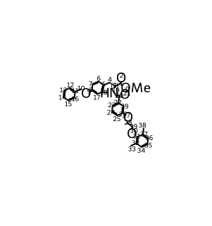 COC(=O)[C@H](Cc1ccc(OCc2ccccc2)cc1)NC(=O)c1cccc(OCCOc2c(C)cccc2C)c1